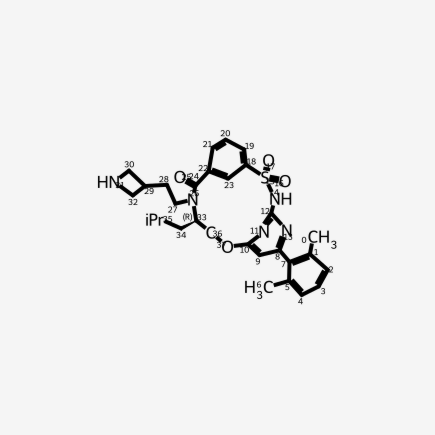 Cc1cccc(C)c1-c1cc2nc(n1)NS(=O)(=O)c1cccc(c1)C(=O)N(CCC1CNC1)[C@H](CC(C)C)CO2